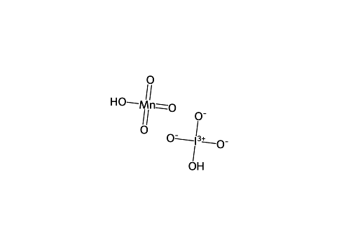 [O-][I+3]([O-])([O-])O.[O]=[Mn](=[O])(=[O])[OH]